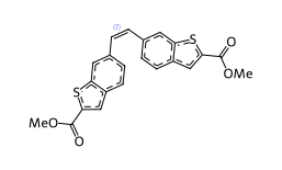 COC(=O)c1cc2ccc(/C=C\c3ccc4cc(C(=O)OC)sc4c3)cc2s1